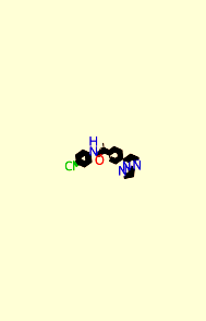 C[C@@H](C(=O)Nc1ccc(Cl)cc1)[C@H]1CC[C@H](c2ccnc3ccnn32)CC1